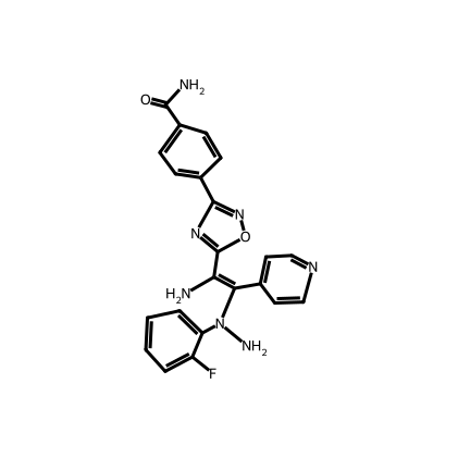 NC(=O)c1ccc(-c2noc(/C(N)=C(\c3ccncc3)N(N)c3ccccc3F)n2)cc1